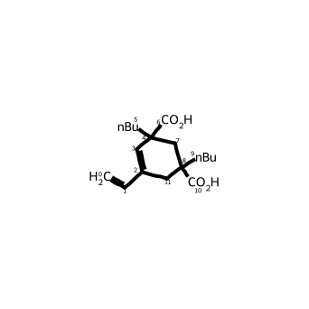 C=CC1=CC(CCCC)(C(=O)O)CC(CCCC)(C(=O)O)C1